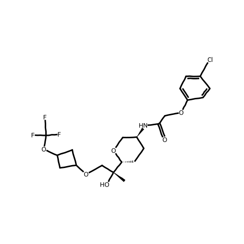 C[C@@](O)(COC1CC(OC(F)(F)F)C1)[C@H]1CC[C@H](NC(=O)COc2ccc(Cl)cc2)CO1